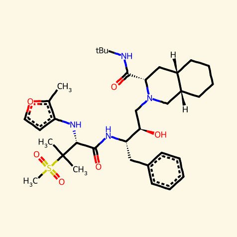 Cc1occc1N[C@H](C(=O)N[C@@H](Cc1ccccc1)[C@H](O)CN1C[C@H]2CCCC[C@H]2C[C@H]1C(=O)NC(C)(C)C)C(C)(C)S(C)(=O)=O